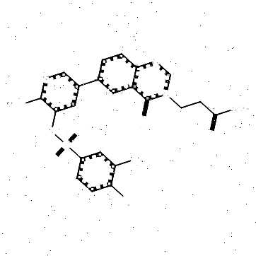 CNC(=O)CCn1cnc2ccc(-c3cnc(OC)c(NS(=O)(=O)c4ccc(F)c(C#N)c4)c3)cc2c1=O